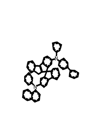 c1ccc(-c2ccc(N(c3ccccc3)c3ccc4c(c3)C3(C5=C4c4ccccc4C5)c4ccccc4-c4ccc(N(c5ccccc5)c5cccc6ccccc56)cc43)cc2)cc1